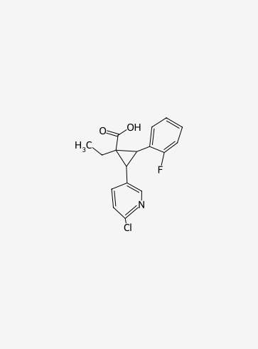 CCC1(C(=O)O)C(c2ccc(Cl)nc2)C1c1ccccc1F